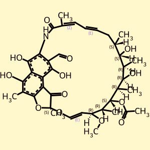 CO[C@H]1/C=C/O[C@@]2(C)Oc3c(C)c(O)c4c(O)c(c(C=O)c(O)c4c3C2=O)NC(=O)/C(C)=C\C=C\C[C@H](C)[C@H](O)[C@@H](C)[C@@H](O)[C@@H](C)[C@H](OC(C)=O)[C@@H]1C